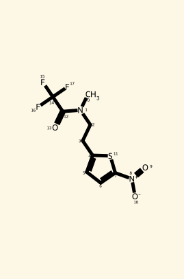 CN(CCc1ccc([N+](=O)[O-])s1)C(=O)C(F)(F)F